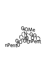 CCCCCOC(=O)Oc1ccc(C[C@H](NCCOC(=O)Oc2ccccc2)C(=O)OC)cc1OC(=O)OCCCCC